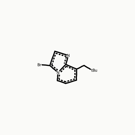 CC(C)(C)Cc1cccn2c(Br)cnc12